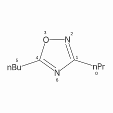 [CH2]CCc1noc(CCCC)n1